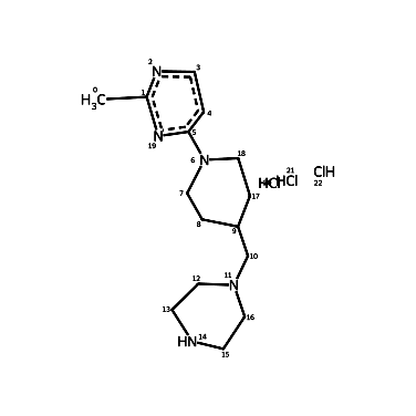 Cc1nccc(N2CCC(CN3CCNCC3)CC2)n1.Cl.Cl.Cl